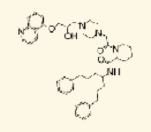 O=C(NC(CCCc1ccccc1)CCCc1ccccc1)C1CCCCN1C(=O)CN1CCN(C[C@@H](O)COc2cccc3ncccc23)CC1